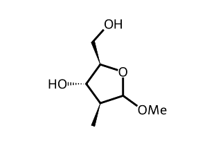 COC1O[C@H](CO)[C@@H](O)[C@@H]1C